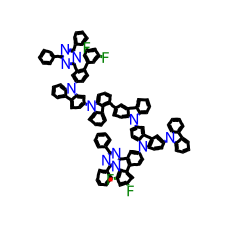 Fc1cc(F)cc(-c2ccc(-n3c4ccc(-n5c6ccccc6c6ccccc65)cc4c4cc(-n5c6ccccc6c6cc(-c7cccc8c7c7ccccc7n8-c7ccc8c9ccccc9n(-c9ccc(-c%10cc(F)cc(F)c%10)c(-c%10nc(-c%11ccccc%11)nc(-c%11ccccc%11)n%10)c9)c8c7)ccc65)ccc43)cc2-c2nc(-c3ccccc3)nc(-c3ccccc3)n2)c1